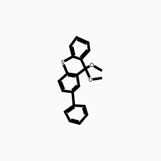 COC1(OC)c2ccccc2Sc2ccc(-c3ccccc3)cc21